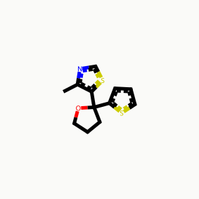 Cc1ncsc1C1(c2cccs2)CCCO1